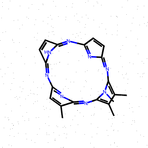 CC1=Cc2nc1nc1c(C)c(C)c(nc3nc(nc4ccc(n2)[nH]4)C=C3)n1C